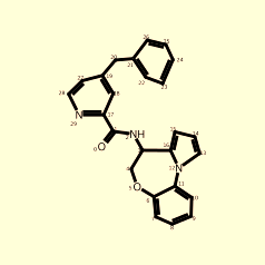 O=C(NC1COc2ccccc2-n2cccc21)c1cc(Cc2ccccc2)ccn1